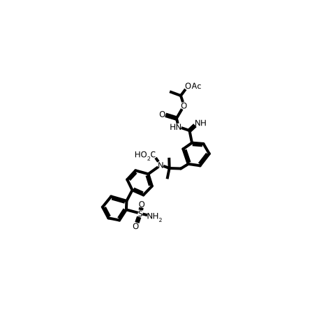 CC(=O)OC(C)OC(=O)NC(=N)c1cccc(CC(C)(C)N(C(=O)O)c2ccc(-c3ccccc3S(N)(=O)=O)cc2)c1